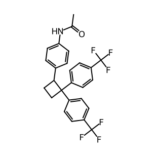 CC(=O)Nc1ccc(C2CCC2(c2ccc(C(F)(F)F)cc2)c2ccc(C(F)(F)F)cc2)cc1